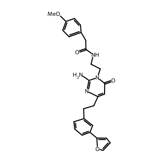 COc1ccc(CC(=O)NCCn2c(N)nc(CCc3cccc(-c4ccco4)c3)cc2=O)cc1